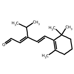 CC1=C(/C=C/C(=C/C=O)C(C)C)C(C)(C)CCC1